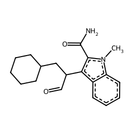 Cn1c(C(N)=O)c(C(C=O)CC2CCCCC2)c2ccccc21